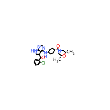 C[C@@H]1CN(C(=O)[C@H]2CC[C@@H](Nc3ncnc4[nH]cc(C(=O)c5ccccc5Cl)c34)CC2)C[C@H](C)O1